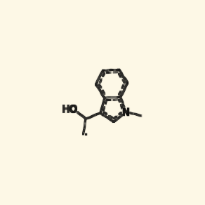 [CH2]C(O)c1cn(C)c2ccccc12